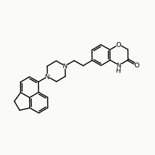 O=C1COc2ccc(CCN3CCN(c4ccc5c6c(cccc46)CC5)CC3)cc2N1